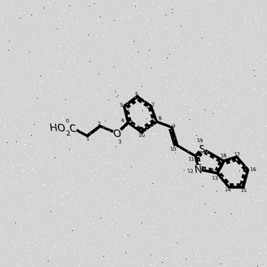 O=C(O)CCOc1cccc(C=Cc2nc3ccccc3s2)c1